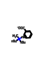 CCCC[N+](C)(CCCC)CCCC.O=C([O-])c1ccccc1